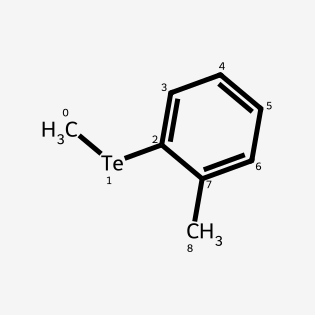 C[Te]c1ccccc1C